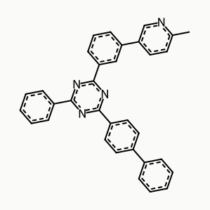 Cc1ccc(-c2cccc(-c3nc(-c4ccccc4)nc(-c4ccc(-c5ccccc5)cc4)n3)c2)cn1